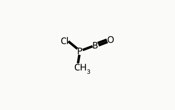 CP(Cl)B=O